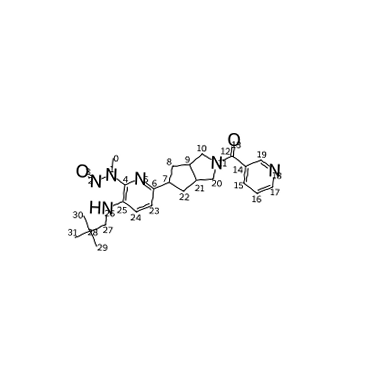 CN(N=O)c1nc(C2CC3CN(C(=O)c4cccnc4)CC3C2)ccc1NCC(C)(C)C